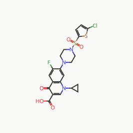 O=C(O)c1cn(C2CC2)c2cc(N3CCN(S(=O)(=O)c4ccc(Cl)s4)CC3)c(F)cc2c1=O